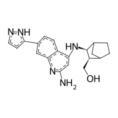 Nc1cc(N[C@H]2C3CCC(C3)[C@H]2CO)c2ccc(-c3ccn[nH]3)cc2n1